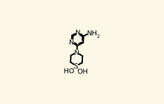 Nc1cc(N2CCS(O)(O)CC2)ncn1